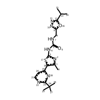 Cc1nc(NC(=O)NCc2nnc(C(C)C)o2)sc1-c1ccnc(C(C)(C)C)n1